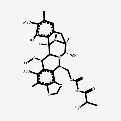 CCS[C@@H]1c2c(OC(C)=O)c(C)c3c(c2[C@H](COC(=O)NC(=O)C(C)N)N2C1[C@@H]1c4c(cc(C)c(OC)c4O)C[C@@H]([C@@H]2C#N)N1C)OCO3